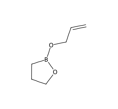 C=CCOB1CCCO1